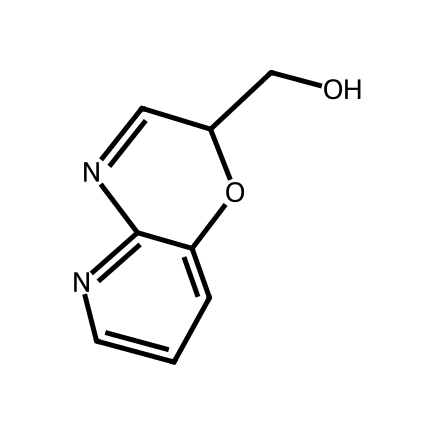 OCC1C=Nc2ncccc2O1